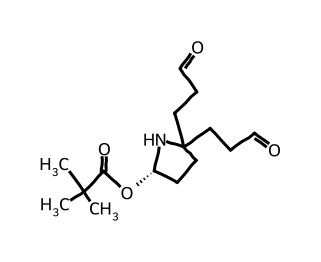 CC(C)(C)C(=O)O[C@H]1CCC(CCC=O)(CCC=O)N1